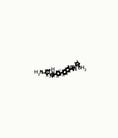 BN1CCC[C@H]1c1ncc(-c2ccc3cc(-c4ccc(-c5cnc([C@@H]6C[C@H](CN)CN6C)[nH]5)cc4)ccc3c2)[nH]1